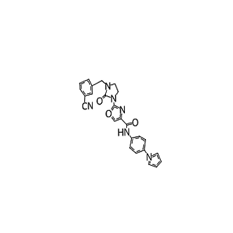 N#Cc1cccc(CN2CCN(c3nc(C(=O)Nc4ccc(-n5cccc5)cc4)co3)C2=O)c1